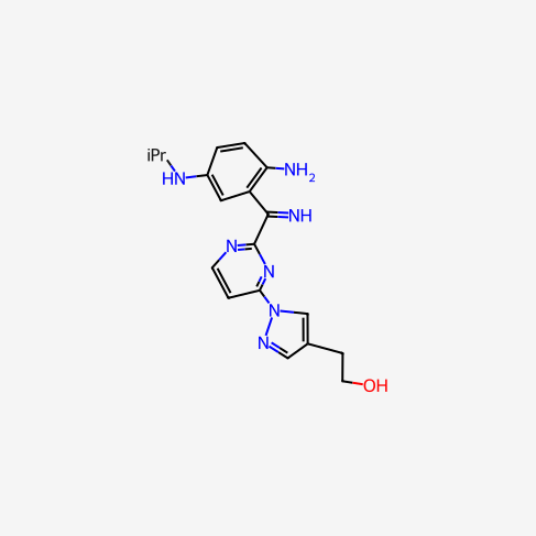 CC(C)Nc1ccc(N)c(C(=N)c2nccc(-n3cc(CCO)cn3)n2)c1